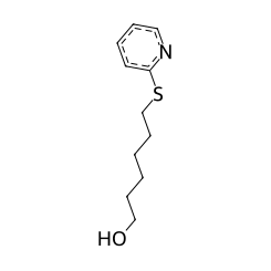 OCCCCCCSc1ccccn1